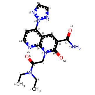 CCN(CC)C(=O)Cn1c(=O)c(C(N)=O)cc2c(-n3nccn3)ccnc21